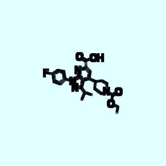 CCOC(=O)N1CCC(c2cc(C(=O)O)nc3c2c(C(C)C)nn3-c2ccc(F)cc2)CC1